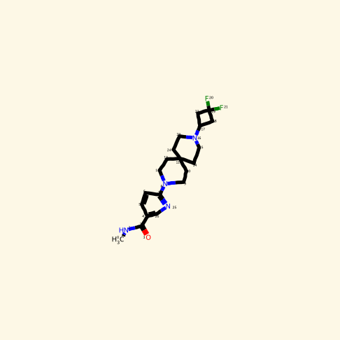 CNC(=O)c1ccc(N2CCC3(CC2)CCN(C2CC(F)(F)C2)CC3)nc1